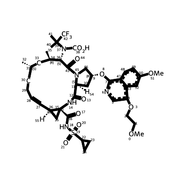 COCCOc1cnc(O[C@@H]2C[C@H]3C(=O)N[C@]4(C(=O)NS(=O)(=O)C5CC5)C[C@H]4C=CCC[C@H](C)C[C@@H](C)[C@H](N(C(=O)O)C(C)(C)C(F)(F)F)C(=O)N3C2)c2ccc(OC)cc12